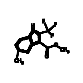 COC(=O)c1c(C(F)(F)F)[nH]c2ccc(C)cc12